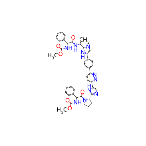 COC(=O)NC(C(=O)NC(C)c1ncc(-c2ccc(-c3ccc(-c4cnc([C@@H]5CCCN5C(=O)C(NC(=O)OC)c5ccccc5)[nH]4)nn3)cc2)[nH]1)c1ccccc1